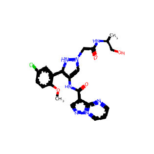 COc1ccc(Cl)cc1C1NN(CC(=O)NC(C)CO)C=C1NC(=O)c1cnn2cccnc12